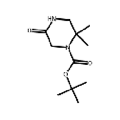 CC(C)(C)OC(=O)N1CC(=O)NCC1(C)C